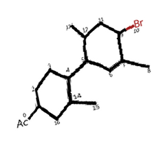 CC(=O)C1CCC(C2CC(C)C(Br)CC2C)C(C)C1